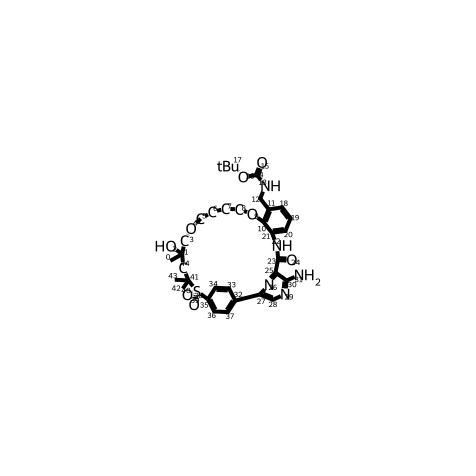 CC1(O)COCCCCOc2c(CNC(=O)OC(C)(C)C)cccc2NC(=O)c2nc(cnc2N)-c2ccc(cc2)S(=O)(=O)C(C)(C)C1